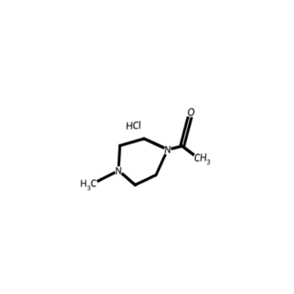 CC(=O)N1CCN(C)CC1.Cl